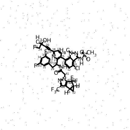 Cn1nc(NS(C)(=O)=O)c2c(Cl)ccc(-c3ccc(C#CC(C)(O)CF)nc3C(Cc3cc(F)cc(F)c3)NC(=O)Cn3nc(C(F)(F)F)c4c3C(F)(F)[C@@H]3C[C@H]43)c21